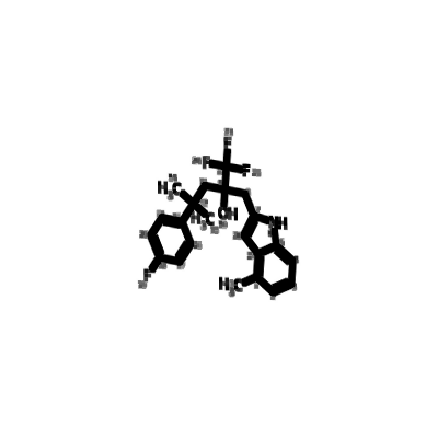 Cc1cccc2[nH]c(CC(O)(CC(C)(C)c3ccc(F)cc3)C(F)(F)F)cc12